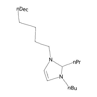 CCCCCCCCCCCCCCN1C=CN(CCCC)C1CCC